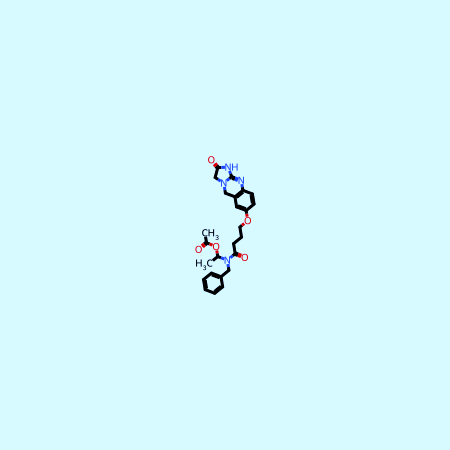 CC(=O)OC(C)N(Cc1ccccc1)C(=O)CCCOc1ccc2c(c1)CN1CC(=O)NC1=N2